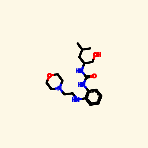 CC(C)CC(CO)NC(=O)Nc1ccccc1NCCN1CCOCC1